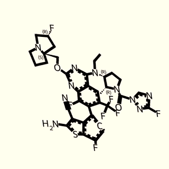 CCN(c1nc(OC[C@@]23CCCN2C[C@H](F)C3)nc2c(F)c(-c3ccc(F)c4sc(N)c(C#N)c34)c(C(F)(F)F)cc12)[C@@H]1CCN(C(=O)n2cnc(F)n2)[C@@H]1C